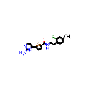 Cc1ccc(CCNC(=O)c2ccc(-c3ccnc(N)n3)s2)c(F)c1